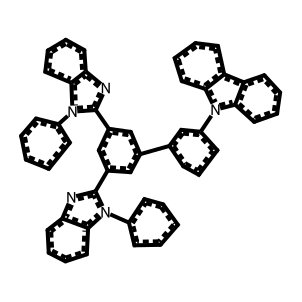 c1ccc(-n2c(-c3cc(-c4cccc(-n5c6ccccc6c6ccccc65)c4)cc(-c4nc5ccccc5n4-c4ccccc4)c3)nc3ccccc32)cc1